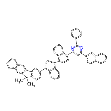 CC1(C)c2ccc(-c3ccc(-c4ccc(-c5cc(-c6ccc7ccccc7c6)nc(-c6ccccc6)n5)c5ccccc45)c4ccccc34)cc2-c2cc3ccccc3cc21